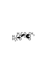 C=C(C)C(=O)OCC(C)C(=O)Oc1cc(C)oc(=O)c1